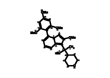 CCCC[N+](C)(c1c(OC)nn2c(-c3c(OC)cc(OC)cc3OC)cccc12)C1CCOCC1